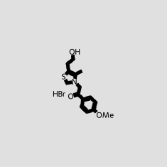 Br.COc1ccc(C(=O)CN2CSC(CCO)=C2C)cc1